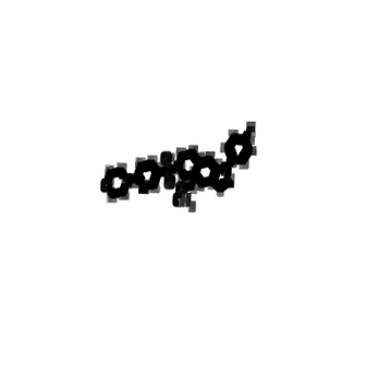 COC[C@]12Cc3cnn(-c4ccc(F)cc4)c3C=C1CCN(S(=O)(=O)c1ccc(N3CCOCC3)nc1)C2